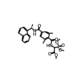 COC(=O)C(NC(=O)c1c(C)cc(C(=O)N[C@H](C)c2cccc3ccccc23)cc1C)P(=O)(OC)OC